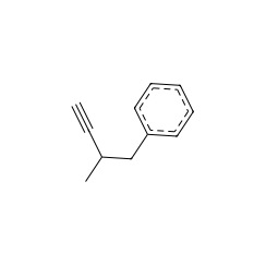 C#CC(C)Cc1ccccc1